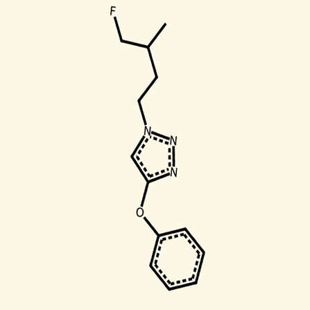 CC(CF)CCn1cc(Oc2ccccc2)nn1